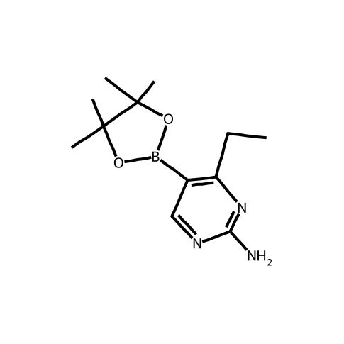 CCc1nc(N)ncc1B1OC(C)(C)C(C)(C)O1